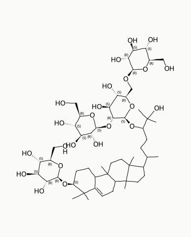 CC(CCC(O[C@@H]1O[C@H](CO[C@@H]2O[C@H](CO)[C@@H](O)[C@H](O)[C@H]2O)[C@@H](O)[C@H](O)[C@H]1O[C@@H]1O[C@H](CO)[C@@H](O)[C@H](O)[C@H]1O)C(C)(C)O)C1CCC2(C)C3CC=C4C(CC[C@H](O[C@@H]5O[C@H](CO)[C@@H](O)[C@H](O)[C@H]5O)C4(C)C)C3(C)CCC12C